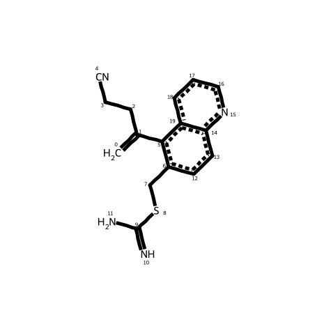 C=C(CCC#N)c1c(CSC(=N)N)ccc2ncccc12